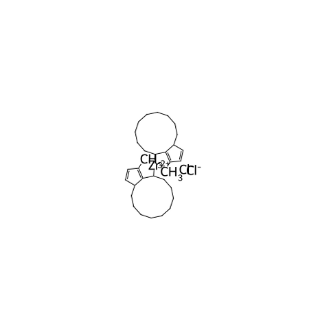 CC1=C2C(C=C1)CCCCCCCCC[CH]2[Zr+2][CH]1CCCCCCCCCC2C=CC(C)=C21.[Cl-].[Cl-]